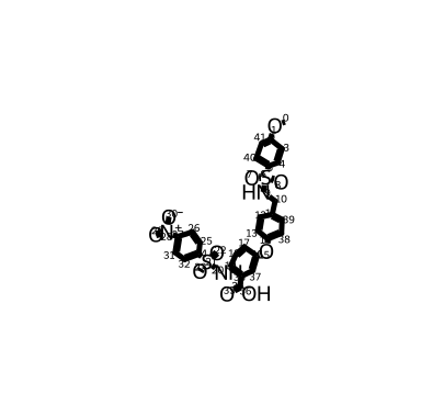 COc1ccc(S(=O)(=O)NCc2ccc(Oc3ccc(NS(=O)(=O)c4ccc([N+](=O)[O-])cc4)c(C(=O)O)c3)cc2)cc1